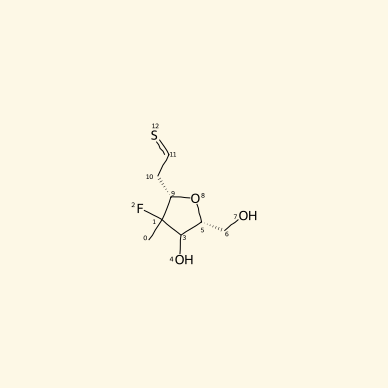 CC1(F)C(O)[C@@H](CO)O[C@H]1CC=S